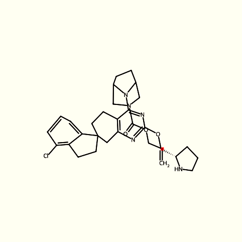 C=CCOC(=O)N1CC2CCC(C1)N2c1nc(OC[C@@H]2CCCN2)nc2c1CCC1(CCc3c(Cl)cccc31)C2